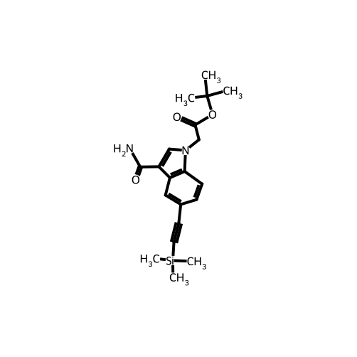 CC(C)(C)OC(=O)Cn1cc(C(N)=O)c2cc(C#C[Si](C)(C)C)ccc21